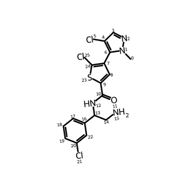 Cn1ncc(Cl)c1-c1cc(C(=O)NC(CN)c2cccc(Cl)c2)sc1Cl